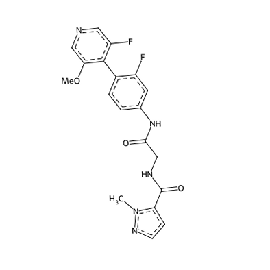 COc1cncc(F)c1-c1ccc(NC(=O)CNC(=O)c2ccnn2C)cc1F